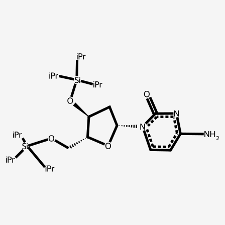 CC(C)[Si](OC[C@H]1O[C@@H](n2ccc(N)nc2=O)C[C@@H]1O[Si](C(C)C)(C(C)C)C(C)C)(C(C)C)C(C)C